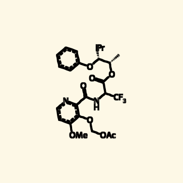 COc1ccnc(C(=O)NC(C(=O)O[C@@H](C)[C@H](Oc2ccccc2)C(C)C)C(F)(F)F)c1OCOC(C)=O